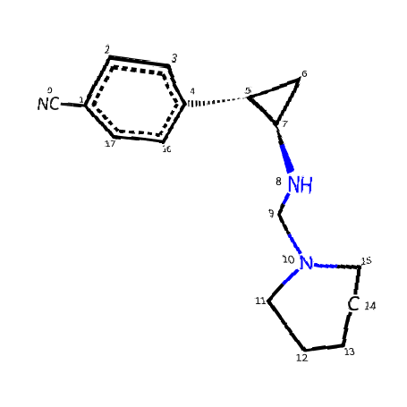 N#Cc1ccc([C@@H]2C[C@H]2NCN2CCCCC2)cc1